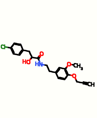 C#CCOc1ccc(CCNC(=O)C(O)Cc2ccc(Cl)cc2)cc1OC